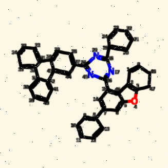 C1=Cc2c(oc3cc(-c4ccccc4)cc(-c4nc(-c5ccccc5)nc(-c5ccc6c7ccccc7c7ccccc7c6c5)n4)c23)CC1